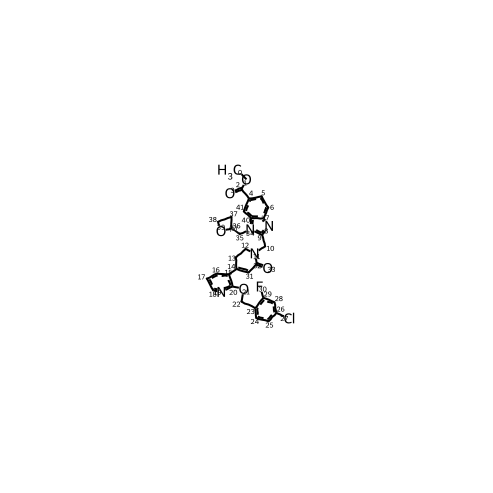 COC(=O)c1ccc2nc(CN3CCC(c4cccnc4OCc4ccc(Cl)cc4F)=CC3=O)n(C[C@@H]3CCO3)c2c1